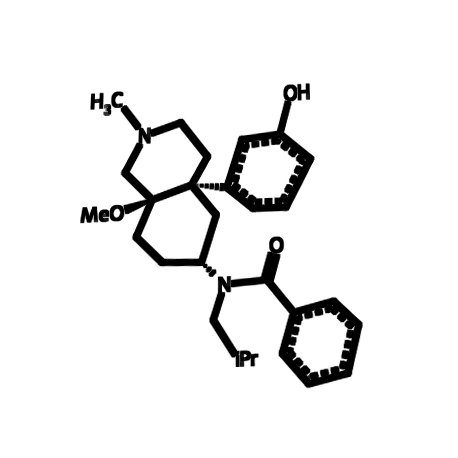 CO[C@]12CC[C@@H](N(CC(C)C)C(=O)c3ccccc3)C[C@]1(c1cccc(O)c1)CCN(C)C2